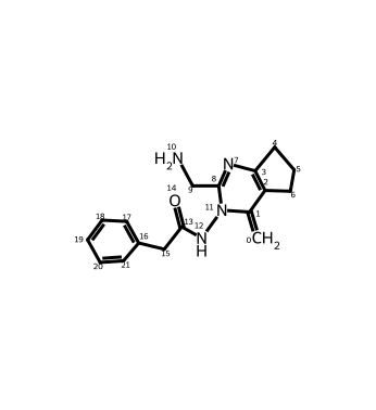 C=C1C2=C(CCC2)N=C(CN)N1NC(=O)Cc1ccccc1